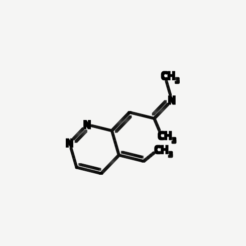 C/C=c1/ccnn/c1=C/C(C)=N\C